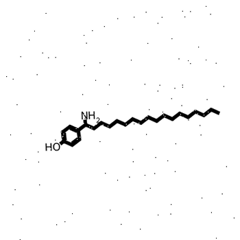 CCCCCCCCCCCCCCCCCC(N)c1ccc(O)cc1